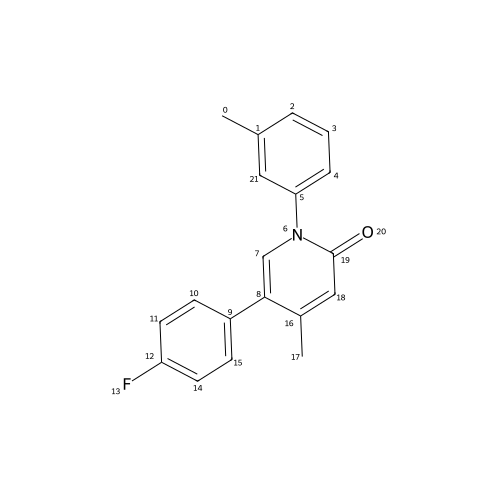 Cc1cccc(-n2cc(-c3ccc(F)cc3)c(C)cc2=O)c1